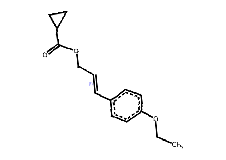 CCOc1ccc(/C=C/COC(=O)C2CC2)cc1